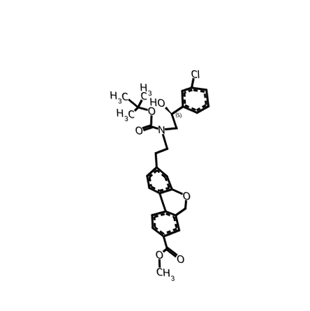 COC(=O)c1ccc2c(c1)COc1cc(CCN(C[C@@H](O)c3cccc(Cl)c3)C(=O)OC(C)(C)C)ccc1-2